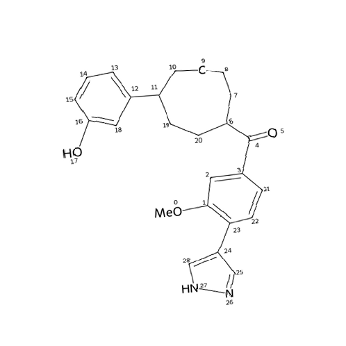 COc1cc(C(=O)C2CCCCC(c3cccc(O)c3)CC2)ccc1-c1cn[nH]c1